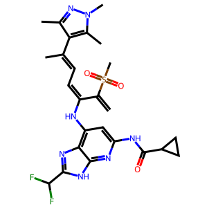 C=C(/C(=C\C=C(/C)c1c(C)nn(C)c1C)Nc1cc(NC(=O)C2CC2)nc2[nH]c(C(F)F)nc12)S(C)(=O)=O